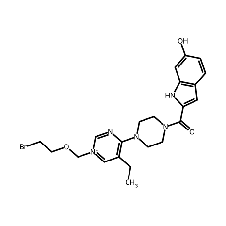 CCc1c[n+](COCCBr)cnc1N1CCN(C(=O)c2cc3ccc(O)cc3[nH]2)CC1